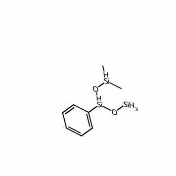 C[SiH](C)O[SiH](O[SiH3])c1ccccc1